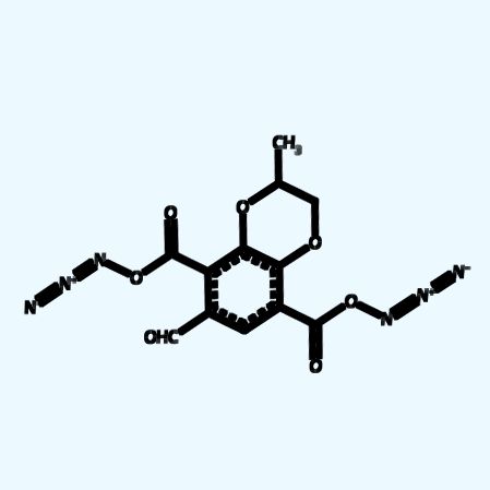 CC1COc2c(C(=O)ON=[N+]=[N-])cc(C=O)c(C(=O)ON=[N+]=[N-])c2O1